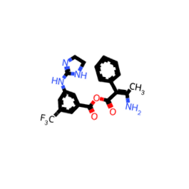 CC(N)=C(C(=O)OC(=O)c1cc(NC2=NCCN2)cc(C(F)(F)F)c1)c1ccccc1